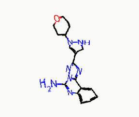 Nc1nc2ccccc2c2nc(C3=CN(C4CCOCC4)NC3)nn12